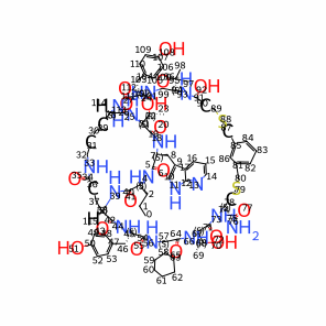 CCC[C@@H]1NC(=O)[C@H](Cc2c[nH]c3ncccc23)NC(=O)[C@H]([C@@H](C)O)NC(=O)[C@@H]2CCCCNC(=O)CC[C@H](NC1=O)C(=O)N[C@@H](Cc1ccc(O)cc1)C(=O)N[C@@H](C1CCCCC1)C(=O)N[C@@H]([C@@H](C)O)C(=O)N[C@@H](C(N)=O)CSCc1cccc(c1)CSCCC(O)N[C@@H](C(C)(C)C)C(=O)N[C@@H](Cc1ccc(O)cc1)C(=O)N2